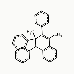 CC1=C(c2ccccc2)C(C)(c2ccccc2)C(c2ccccc2)c2ccccc21